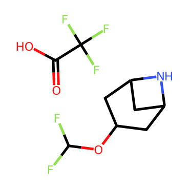 FC(F)OC1CC2CC(C1)N2.O=C(O)C(F)(F)F